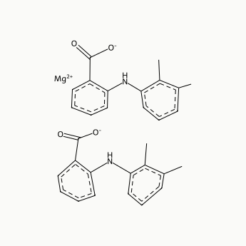 Cc1cccc(Nc2ccccc2C(=O)[O-])c1C.Cc1cccc(Nc2ccccc2C(=O)[O-])c1C.[Mg+2]